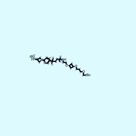 CC(C)(C)COCCCO[C@H]1C[C@H](OCCNC(C)(C)CCC(C)(C)c2ccc(N3CC(NC(C)(C)C)C3)nc2)C1